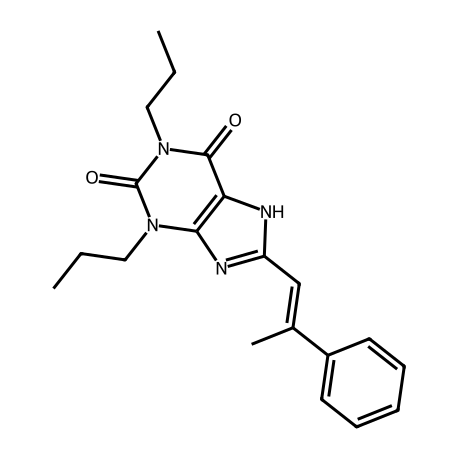 CCCn1c(=O)c2[nH]c(/C=C(\C)c3ccccc3)nc2n(CCC)c1=O